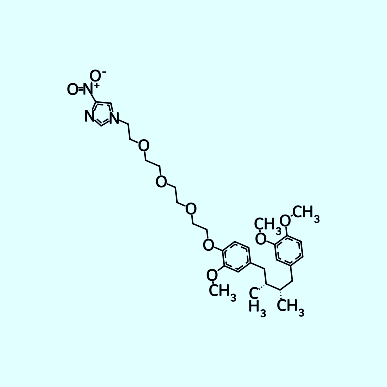 COc1ccc(C[C@H](C)[C@H](C)Cc2ccc(OCCOCCOCCOCCn3cnc([N+](=O)[O-])c3)c(OC)c2)cc1OC